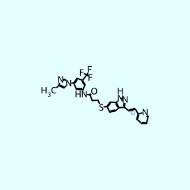 Cc1cn(-c2cc(NC(=O)CCSc3ccc4c(/C=C/c5ccccn5)n[nH]c4c3)cc(C(F)(F)F)c2)cn1